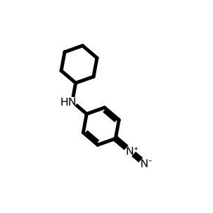 [N-]=[N+]=C1C=CC(NC2CCCCC2)C=C1